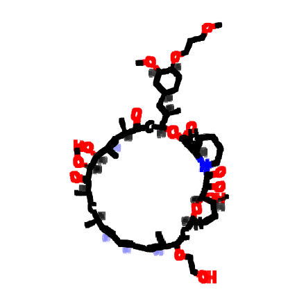 COCCCO[C@@H]1CC[C@@H](C[C@@H](C)[C@@H]2CC(=O)[C@H](C)/C=C(\C)[C@@H](O)[C@@H](OC)C(=O)[C@H](C)C[C@H](C)/C=C/C=C/C=C(\C)C(OCCO)C[C@@H]3CC[C@@H](C)[C@@](O)(O3)C(=O)C(=O)N3CCCC[C@H]3C(=O)O2)C[C@H]1OC